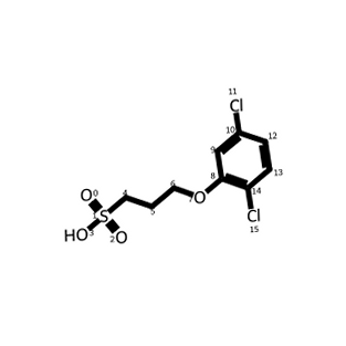 O=S(=O)(O)CCCOc1cc(Cl)ccc1Cl